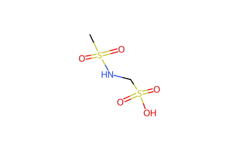 CS(=O)(=O)NCS(=O)(=O)O